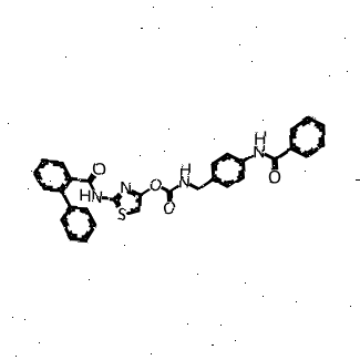 O=C(NCc1ccc(NC(=O)c2ccccc2)cc1)Oc1csc(NC(=O)c2ccccc2-c2ccccc2)n1